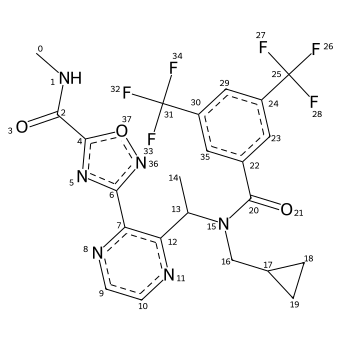 CNC(=O)c1nc(-c2nccnc2C(C)N(CC2CC2)C(=O)c2cc(C(F)(F)F)cc(C(F)(F)F)c2)no1